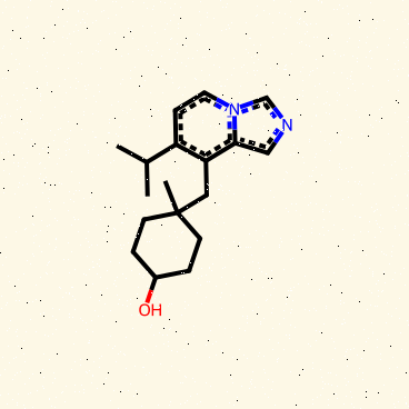 CC(C)c1ccn2cncc2c1CC1(C)CCC(O)CC1